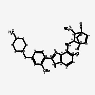 COc1cc(CN2CCN(C)CC2)ccc1-c1nc2c(N[C@H]3[C@@H](C(=O)O)[C@@H]4C=C[C@H]3C4)c(Cl)cnc2[nH]1